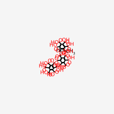 CC(C)OC(=O)c1c(C(=O)O)c(C(=O)O)c(C(=O)O)c(C(=O)OC(=O)c2c(C(=O)O)c(C(=O)O)c(C(=O)O)c(C(=O)O)c2C(=O)O)c1C(=O)OC(=O)c1c(C(=O)O)c(C(=O)O)c(C(=O)O)c(C(=O)O)c1C(=O)O